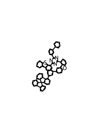 c1ccc(-c2cccc(-c3nc(-c4cccc5c4sc4ccccc45)nc(-c4cccc5oc6ccc(-c7cccc(-c8cccc9c8-c8ccccc8C98c9ccccc9-c9ccccc98)c7)cc6c45)n3)c2)cc1